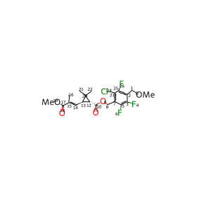 COCc1c(F)c(F)c(COC(=O)[C@@H]2[C@@H](/C=C(\C)C(=O)OC)C2(C)C)c(Cl)c1F